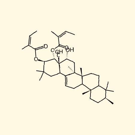 C/C=C(/C)C(=O)O[C@H]1[C@H](OC(=O)/C(C)=C\C)[C@@]2(CO)C(CC1(C)C)C1=CCC3[C@@]4(C)CC[C@H](C)C(C)(C)C4CC[C@@]3(C)[C@]1(C)C[C@H]2O